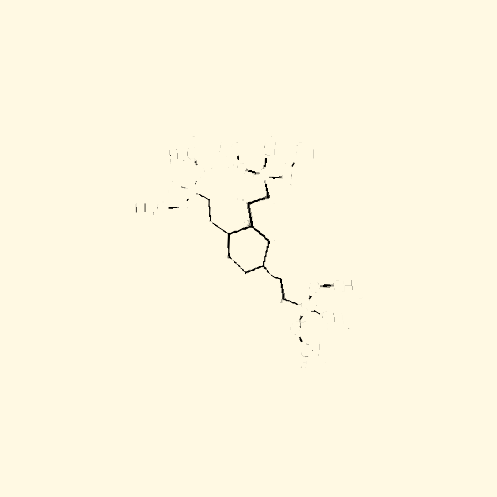 CO[Si](C)(CCC1CCC(CC[Si](C)(OC)OC)C(CC[Si](C)(OC)OC)C1)OC